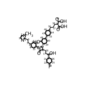 Cn1ccnc1CCc1ccc(N2C(=O)[C@H](CC[C@H](O)c3ccc(F)cc3)[C@H]2c2ccc(-c3ccc(CCCC(C(=O)O)C(=O)O)cc3)cc2O)cc1